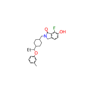 CCC(Oc1cccc(C)c1)C1CCC(CN2Cc3ccc(O)c(F)c3C2=O)CC1